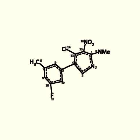 CNc1ncc(-c2cc(C)cc(F)c2)c(Cl)c1[N+](=O)[O-]